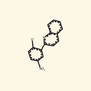 O=[N+]([O-])c1ccc(Cl)c(-c2ccc3ccccc3n2)c1